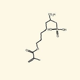 C=C(C)C(=O)OCCCCCC(CP(=O)(O)O)C(=O)O